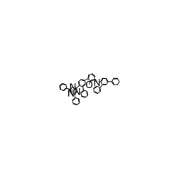 C1=C=CC(c2nc(-c3ccccc3)nc(-c3ccc4c(oc5c(-n6c7ccccc7c7cc(C8=CCCC=C8)ccc76)cccc54)c3-c3ccccc3)n2)=CC=1